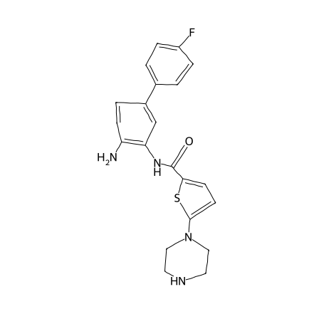 Nc1ccc(-c2ccc(F)cc2)cc1NC(=O)c1ccc(N2CCNCC2)s1